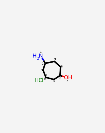 Cl.NC1CCCC(O)CC1